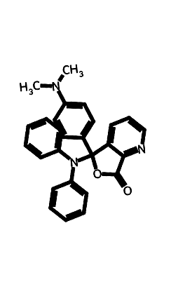 CN(C)c1ccc(C2(N(c3ccccc3)c3ccccc3)OC(=O)c3ncccc32)cc1